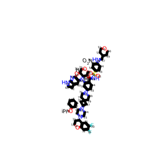 CC(C)Oc1ccccc1[C@H]1CN([C@@H]2CCOc3cc(F)c(F)cc32)CCN1C1CC2(CCN(c3ccc(C(=O)NS(=O)(=O)c4ccc(NCC5CCOCC5)c([N+](=O)[O-])c4)c(N4c5cc6cc[nH]c6nc5O[C@H]5COCC[C@@H]54)c3)CC2)C1